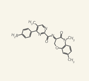 Bc1ccc(-c2nc(C(=O)/N=C3\COc4cc(C)ccc4N(C)C3=O)ncc2C)cc1